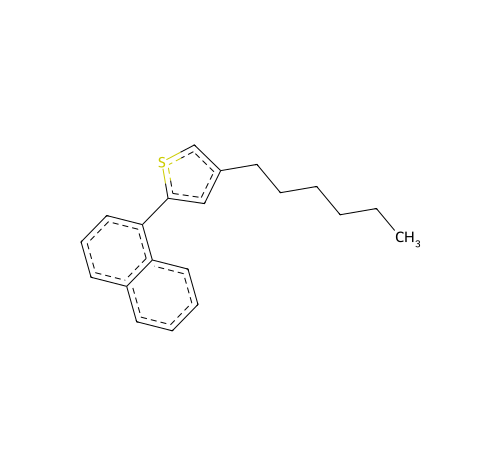 CCCCCCc1csc(-c2cccc3ccccc23)c1